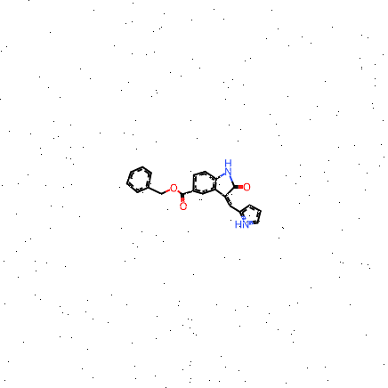 O=C1Nc2ccc(C(=O)OCc3ccccc3)cc2C1=Cc1ccc[nH]1